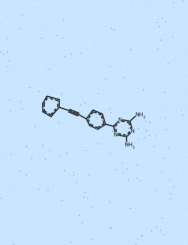 Nc1nc(N)nc(-c2ccc(C#Cc3ccccc3)cc2)n1